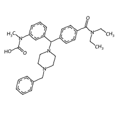 CCN(CC)C(=O)c1ccc(C(c2cccc(N(C)C(=O)O)c2)N2CCN(Cc3ccccc3)CC2)cc1